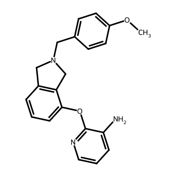 COc1ccc(CN2Cc3cccc(Oc4ncccc4N)c3C2)cc1